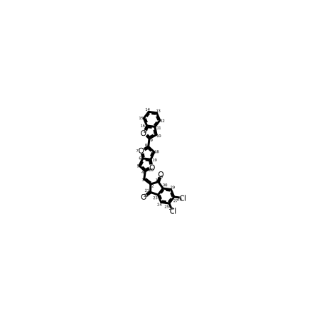 O=C1C(=Cc2cc3oc(-c4cc5ccccc5o4)cc3o2)C(=O)c2cc(Cl)c(Cl)cc21